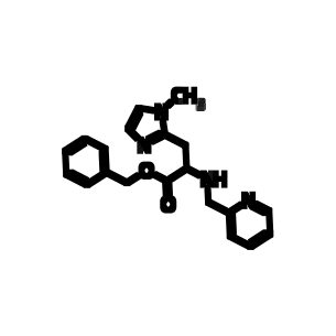 Cn1ccnc1CC(NCc1ccccn1)C(=O)OCc1ccccc1